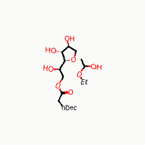 CCCCCCCCCCCC(=O)OC[C@@H](O)[C@H]1OC[C@H](O)[C@H]1O.CCOC(C)O